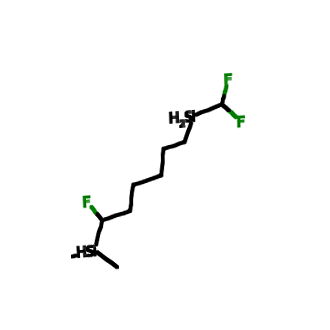 C[SiH](C)C(F)CCCCC[SiH2]C(F)F